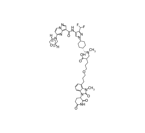 CN(CC(CCCOCCCc1cccc2c1n(C)c(=O)n2C1CCC(=O)NC1=O)C(=O)O)C[C@H]1CC[C@H](n2cc(NC(=O)c3cnn4ccc(N5C[C@H]6C[C@@H]5CO6)nc34)c(C(F)F)n2)CC1